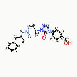 C/C(=C\c1ccccc1)CN1CCC(n2ncn(-c3ccc(CO)cc3)c2=O)CC1